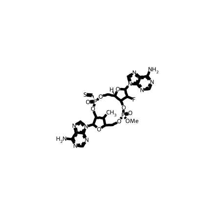 COP1(=O)OCC2OC(n3cnc4c(N)ncnc43)C(O[P@](=O)(C=S)OC[C@H]3OC(n4cnc5c(N)ncnc54)C(F)C3O1)C2C